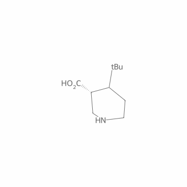 CC(C)(C)C1CCNC[C@@H]1C(=O)O